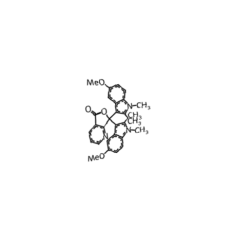 COc1ccc2c(c1)c(C1(c3c(C)n(C)c4ccc(OC)cc34)OC(=O)c3cccnc31)c(C)n2C